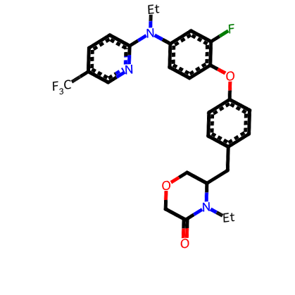 CCN(c1ccc(Oc2ccc(CC3COCC(=O)N3CC)cc2)c(F)c1)c1ccc(C(F)(F)F)cn1